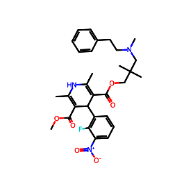 COC(=O)C1=C(C)NC(C)=C(C(=O)OCC(C)(C)CN(C)CCc2ccccc2)C1c1cccc([N+](=O)[O-])c1F